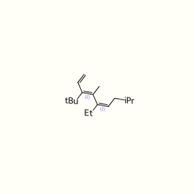 C=C/C(=C(C)/C(=C\CC(C)C)CC)C(C)(C)C